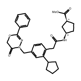 COC(=O)[C@H]1CC[C@@H](NC(=O)Cc2ccc(CN3N=C(c4ccccc4)OCC3=O)cc2C2CCCC2)C1